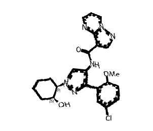 COc1ccc(Cl)cc1-c1nn([C@@H]2CCCC[C@@H]2O)cc1NC(=O)c1cnn2cccnc12